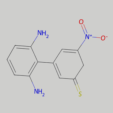 Nc1cccc(N)c1C1=CC(=S)CC([N+](=O)[O-])=C1